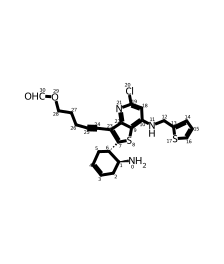 N[C@H]1CC=CC[C@@H]1c1sc2c(NCc3cccs3)cc(Cl)nc2c1C#CCCCOC=O